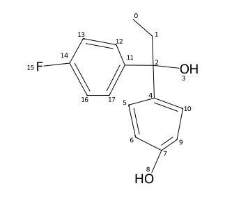 CCC(O)(c1ccc(O)cc1)c1ccc(F)cc1